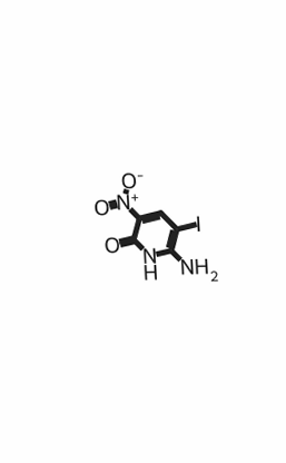 Nc1[nH]c(=O)c([N+](=O)[O-])cc1I